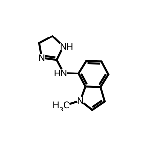 Cn1ccc2cccc(NC3=NCCN3)c21